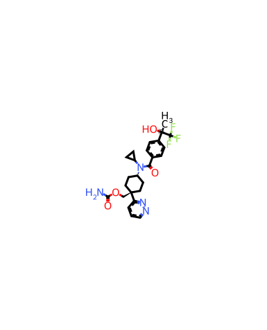 C[C@](O)(c1ccc(C(=O)N(C2CC2)[C@H]2CC[C@@](COC(N)=O)(c3cccnn3)CC2)cc1)C(F)(F)F